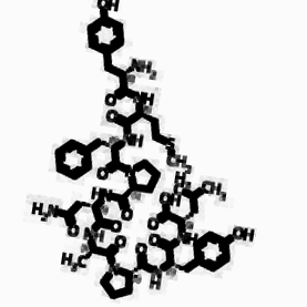 CSCC[C@H](NC(=O)[C@@H](N)Cc1ccc(O)cc1)C(=O)N[C@@H](Cc1ccccc1)C(=O)N1CCC[C@H]1C(=O)N[C@@H](CC(N)=O)C(=O)N[C@@H](C)C(=O)N1CCC[C@H]1C(=O)N[C@@H](Cc1ccc(O)cc1)C(=O)N[C@@H](CC(C)C)C(=O)O